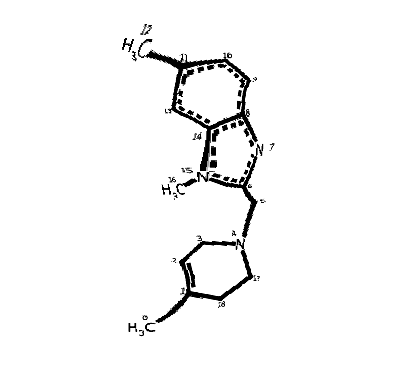 CC1=CCN(Cc2nc3ccc(C)cc3n2C)CC1